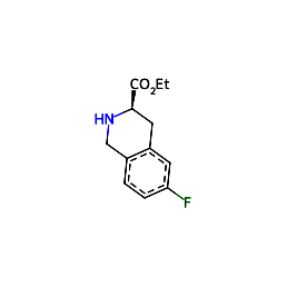 CCOC(=O)[C@H]1Cc2cc(F)ccc2CN1